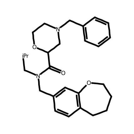 CC(C)CN(Cc1ccc2c(c1)OCCCC2)C(=O)C1CN(Cc2ccccc2)CCO1